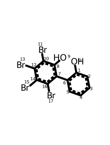 Oc1ccccc1-c1c(O)c(Br)c(Br)c(Br)c1Br